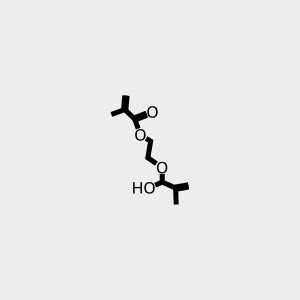 C=C(C)C(=O)OCCOC(O)C(=C)C